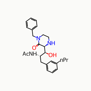 CCCc1cccc(C[C@H](NC(C)=O)[C@H](O)[C@@H]2NCCN(Cc3ccccc3)C2=O)c1